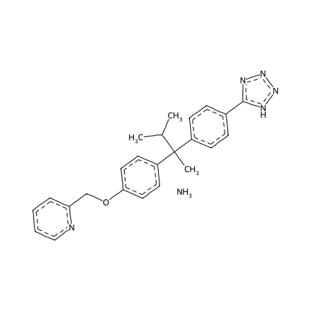 CC(C)C(C)(c1ccc(OCc2ccccn2)cc1)c1ccc(-c2nnn[nH]2)cc1.N